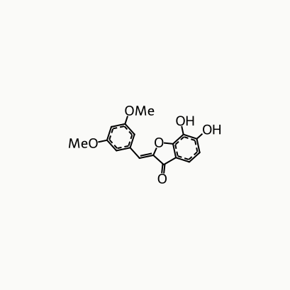 COc1cc(C=C2Oc3c(ccc(O)c3O)C2=O)cc(OC)c1